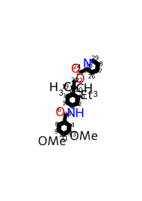 CCc1cc(NC(=O)c2ccc(OC)c(OC)c2)ccc1C(C)(C)COC(=O)c1ccccn1